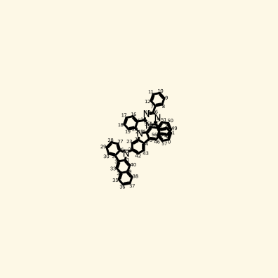 c1ccc(-c2nc(-c3ccccc3)nc(-c3ccccc3-n3c4cc(-n5c6ccccc6c6cc7ccccc7cc65)ccc4c4cc5ccccc5cc43)n2)cc1